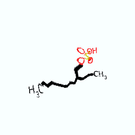 CCCCCCCC(CCC)CCOS(=O)(=O)O